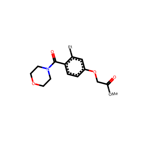 CCc1cc(OCC(=O)OC)ccc1C(=O)N1CCOCC1